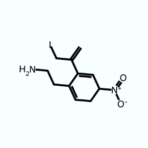 C=C(CI)C1=CC([N+](=O)[O-])CC=C1CCN